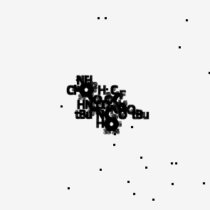 C=C(F)C(=O)N(CC(=O)OC(C)(C)C)NC(=O)C(NC(=O)[C@@H](NC(=O)c1ccc(N)c(Cl)c1)C(C)(C)C)c1ccccc1